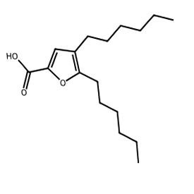 CCCCCCc1cc(C(=O)O)oc1CCCCCC